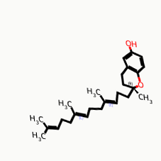 CC(C)=CCC/C(C)=C/CC/C(C)=C/CC[C@]1(C)CCc2cc(O)ccc2O1